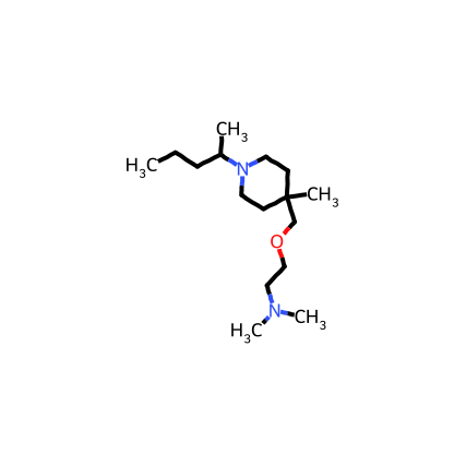 CCCC(C)N1CCC(C)(COCCN(C)C)CC1